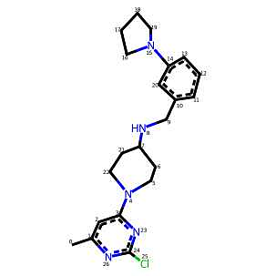 Cc1cc(N2CCC(NCc3cccc(N4CCCC4)c3)CC2)nc(Cl)n1